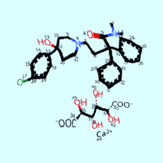 CN(C)C(=O)C(CCN1CCC(O)(c2ccc(Cl)cc2)CC1)(c1ccccc1)c1ccccc1.O=C([O-])[C@@H](O)[C@@H](O)[C@H](O)[C@@H](O)C(=O)[O-].[Ca+2]